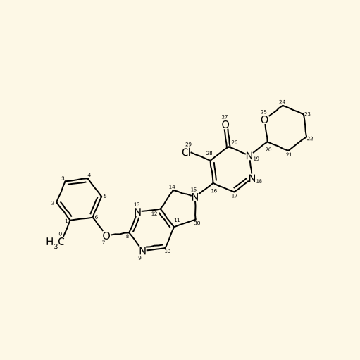 Cc1ccccc1Oc1ncc2c(n1)CN(c1cnn(C3CCCCO3)c(=O)c1Cl)C2